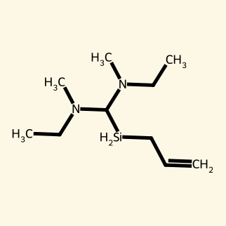 C=CC[SiH2]C(N(C)CC)N(C)CC